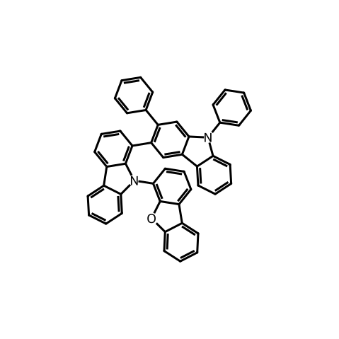 c1ccc(-c2cc3c(cc2-c2cccc4c5ccccc5n(-c5cccc6c5oc5ccccc56)c24)c2ccccc2n3-c2ccccc2)cc1